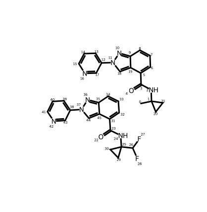 CC1(NC(=O)c2cccc3nn(-c4cccnc4)cc23)CC1.O=C(NC1(C(F)F)CC1)c1cccc2nn(-c3cccnc3)cc12